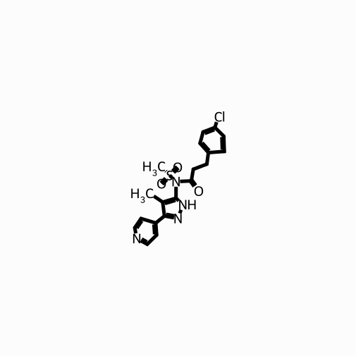 Cc1c(-c2ccncc2)n[nH]c1N(C(=O)CCc1ccc(Cl)cc1)S(C)(=O)=O